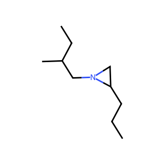 CCCC1CN1CC(C)CC